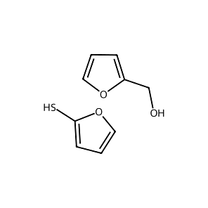 OCc1ccco1.Sc1ccco1